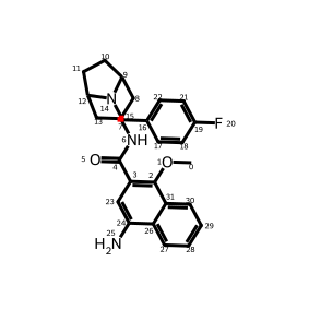 COc1c(C(=O)NC2CC3CCC(C2)N3Cc2ccc(F)cc2)cc(N)c2ccccc12